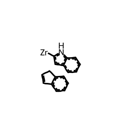 C1=Cc2ccccc2C1.[Zr][c]1cc2ccccc2[nH]1